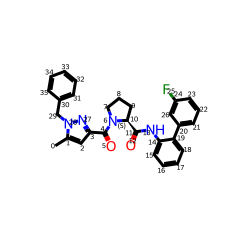 Cc1cc(C(=O)N2CCC[C@H]2C(=O)Nc2ccccc2-c2cccc(F)c2)nn1Cc1ccccc1